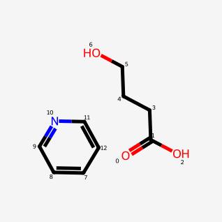 O=C(O)CCCO.c1ccncc1